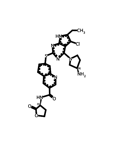 CCc1[nH]c2nc(Sc3ccc4cc(C(=O)N[C@H]5CCOC5=O)cnc4c3)nc(N3CC[C@@H](N)C3)c2c1Cl